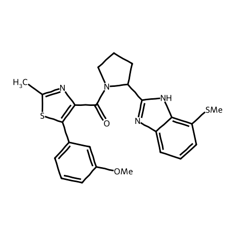 COc1cccc(-c2sc(C)nc2C(=O)N2CCCC2c2nc3cccc(SC)c3[nH]2)c1